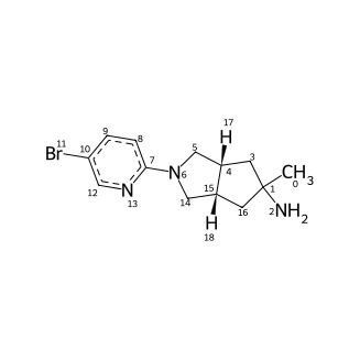 CC1(N)C[C@H]2CN(c3ccc(Br)cn3)C[C@H]2C1